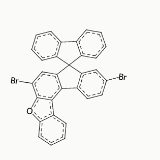 Brc1ccc2c(c1)C1(c3ccccc3-c3ccccc31)c1cc(Br)c3oc4ccccc4c3c1-2